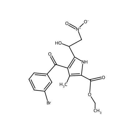 CCOC(=O)c1[nH]c(C(O)C[N+](=O)[O-])c(C(=O)c2cccc(Br)c2)c1C